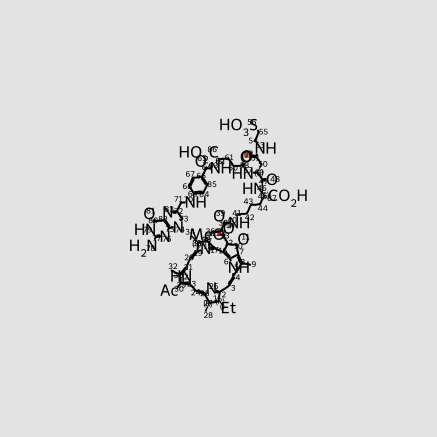 CC[C@H]1c2cc3[nH]c4c(c3C)C(=O)C(C(=O)OC)c4c3nc(cc4[nH]c(cc(n2)[C@@H]1C)c(C(C)=O)c4C)[C@@H](C)[C@@H]3CCC(=O)NCCCC[C@H](NC(=O)[C@H](CC(=O)NCCS(=O)(=O)O)NC(=O)CC[C@H](NC(=O)c1ccc(NCc2cnc3nc(N)[nH]c(=O)c3n2)cc1)C(=O)O)C(=O)O